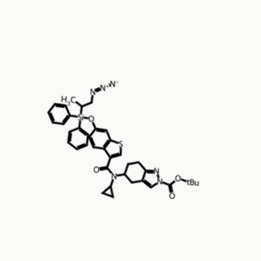 CC(CN=[N+]=[N-])[Si](Oc1ccc2c(C(=O)N(C3CC3)C3CCc4nn(C(=O)OC(C)(C)C)cc4C3)csc2c1)(c1ccccc1)c1ccccc1